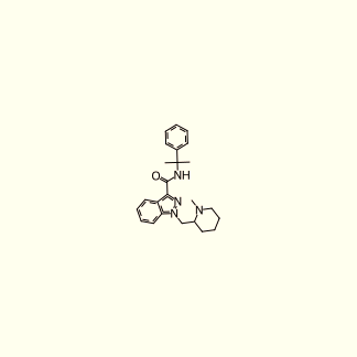 CN1CCCCC1Cn1nc(C(=O)NC(C)(C)c2ccccc2)c2ccccc21